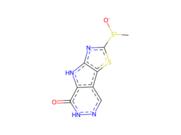 C[S+]([O-])c1nc2[nH]c3c(=O)[nH]ncc3c2s1